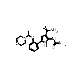 CC(Oc1ccccc1-c1cc(C(N)=O)c(NC(N)=O)[nH]1)N1CCOCC1